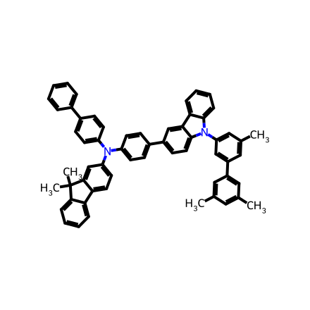 Cc1cc(C)cc(-c2cc(C)cc(-n3c4ccccc4c4cc(-c5ccc(N(c6ccc(-c7ccccc7)cc6)c6ccc7c(c6)C(C)(C)c6ccccc6-7)cc5)ccc43)c2)c1